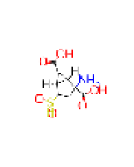 N[C@@]1(C(=O)O)CC([SH](=O)=O)[C@H]2[C@@H](C(=O)O)[C@@H]21